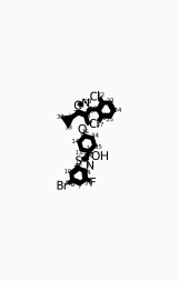 O[C@]1(c2nc3c(F)cc(Br)cc3s2)CC[C@@H](OCc2c(-c3c(Cl)cccc3Cl)noc2C2CC2)CC1